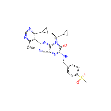 COc1ncnc(C2CC2)c1-c1ncc2nc(NCc3ccc(S(C)(=O)=O)cc3)c(=O)n([C@@H](C)C3CC3)c2n1